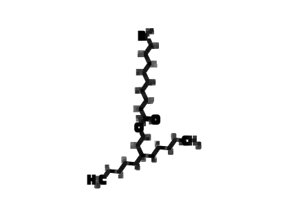 CCCCCC(CCCCC)CCOC(=O)CCCCCCCCBr